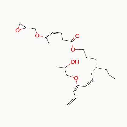 C=C/C=C(\C=C/C[C@@H](CCC)CCCOC(=O)C/C=C\C(C)OCC1CO1)OCC(C)O